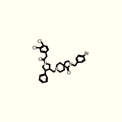 O=C(Cc1ccc(Cl)c(Cl)c1)N1CC(CN2CCC3(CC2)CCN(Cc2ccc(Br)cc2)C3=O)C(c2ccccc2)C1